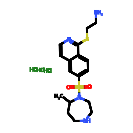 CC1CCNCCN1S(=O)(=O)c1ccc2c(SCCN)nccc2c1.Cl.Cl.Cl